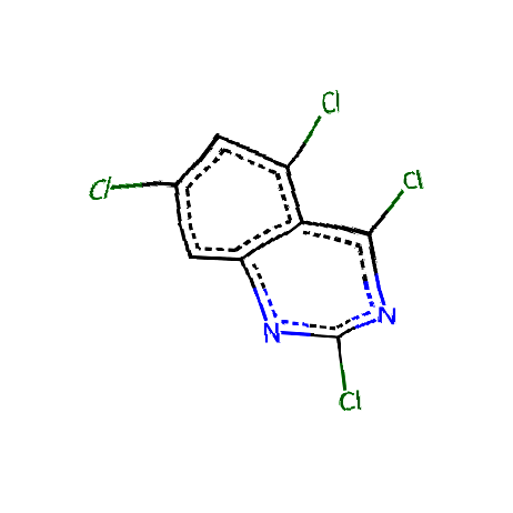 Clc1cc(Cl)c2c(Cl)nc(Cl)nc2c1